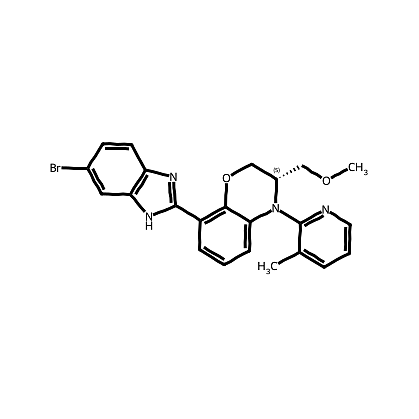 COC[C@H]1COc2c(-c3nc4ccc(Br)cc4[nH]3)cccc2N1c1ncccc1C